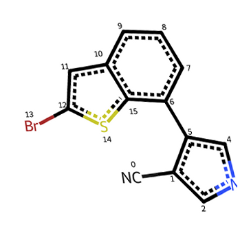 N#Cc1c[nH]cc1-c1cccc2cc(Br)sc12